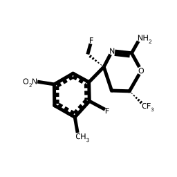 Cc1cc([N+](=O)[O-])cc([C@]2(CF)C[C@@H](C(F)(F)F)OC(N)=N2)c1F